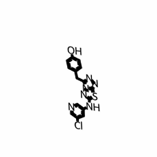 Oc1ccc(Cc2nnc3sc(Nc4cncc(Cl)c4)nn23)cc1